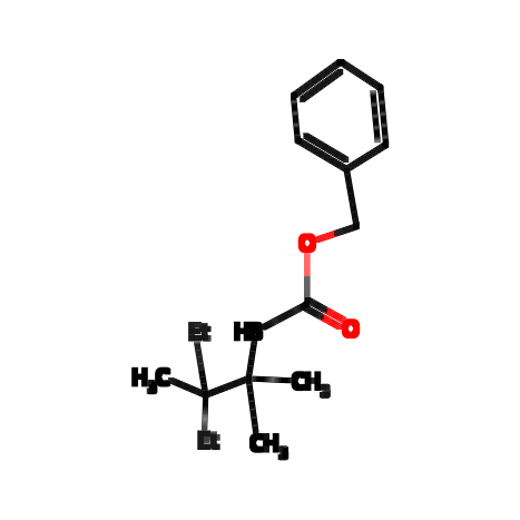 CCC(C)(CC)C(C)(C)BC(=O)OCc1ccccc1